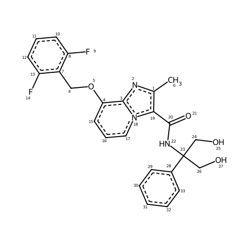 Cc1nc2c(OCc3c(F)cccc3F)cccn2c1C(=O)NC(CO)(CO)c1ccccc1